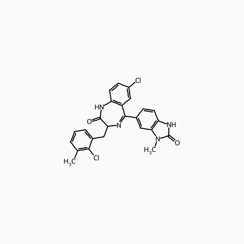 Cc1cccc(CC2N=C(c3ccc4[nH]c(=O)n(C)c4c3)c3cc(Cl)ccc3NC2=O)c1Cl